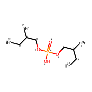 CCCC(COP(=O)(O)OCC(CCC)CC(C)C)CC(C)C